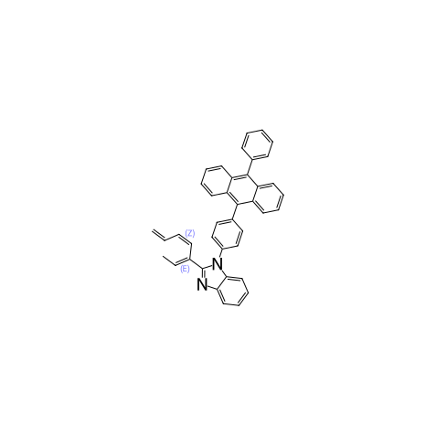 C=C/C=C\C(=C/C)c1nc2ccccc2n1-c1ccc(-c2c3ccccc3c(-c3ccccc3)c3ccccc23)cc1